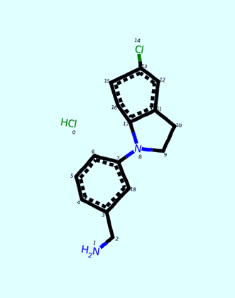 Cl.NCc1cccc(N2CCc3cc(Cl)ccc32)c1